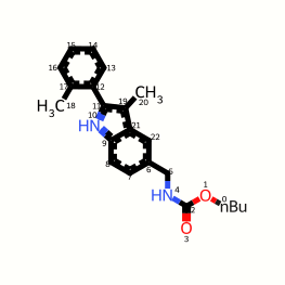 CCCCOC(=O)NCc1ccc2[nH]c(-c3ccccc3C)c(C)c2c1